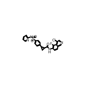 O=C(Nc1ccc2cncc(Cl)c2c1F)C1CC1c1ccc(S(=O)(=O)Nc2ccccn2)cc1